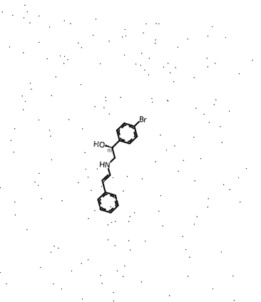 O[C@H](CNC=Cc1ccccc1)c1ccc(Br)cc1